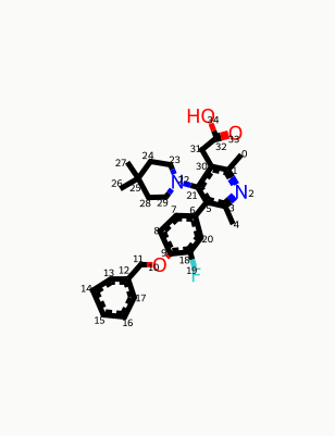 Cc1nc(C)c(-c2ccc(OCc3ccccc3)c(F)c2)c(N2CCC(C)(C)CC2)c1CC(=O)O